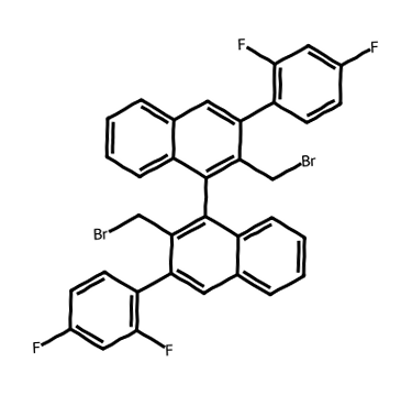 Fc1ccc(-c2cc3ccccc3c(-c3c(CBr)c(-c4ccc(F)cc4F)cc4ccccc34)c2CBr)c(F)c1